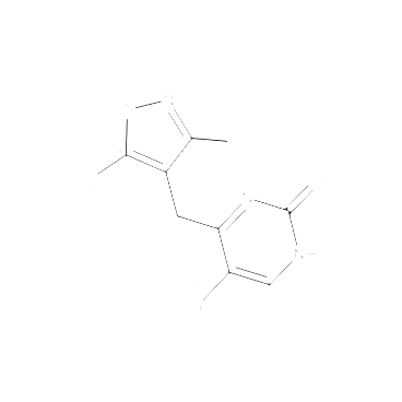 Cc1noc(C)c1Cc1nc(=O)[nH]cc1Cl